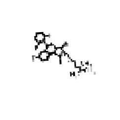 C[Si](C)(C)CCOCN1Nc2c(nc(-c3c(F)cccc3F)c3cc(F)ccc23)C1Br